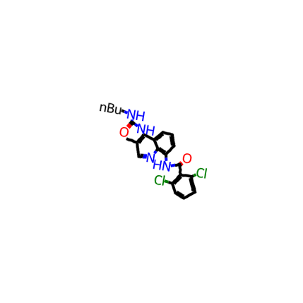 CCCCNC(=O)Nc1c(C)cnc2c(NC(=O)c3c(Cl)cccc3Cl)cccc12